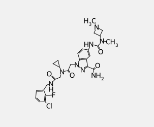 CN1CC(N(C)C(=O)Nc2ccc3c(c2)c(C(N)=O)nn3CC(=O)N(CC(=O)NCc2cccc(Cl)c2F)C2CC2)C1